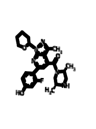 Cc1nn(C2CCCCO2)c2nc(-c3ccc(O)cc3F)cc(C(=O)N3C[C@@H](C)NC[C@@H]3C)c12